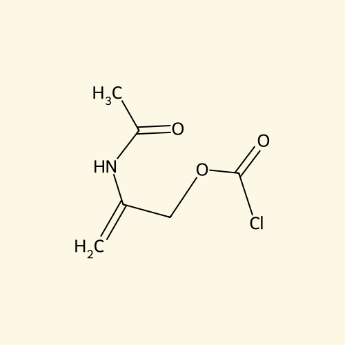 C=C(COC(=O)Cl)NC(C)=O